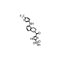 CC(C)S(=O)(=O)c1nc(C(=O)N2CCc3c(cccc3Nc3ccc(C(F)(F)F)nc3)C2)c[nH]1